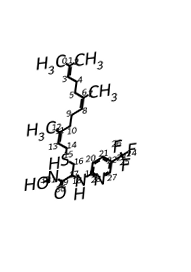 CC(C)=CCCC(C)=CCCC(C)=CCSCC(Nc1ccc(C(F)(F)F)cn1)C(=O)NO